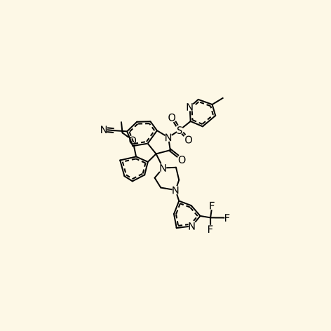 CCOc1ccccc1C1(N2CCN(c3ccnc(C(F)(F)F)c3)CC2)C(=O)N(S(=O)(=O)c2ccc(C)cn2)c2ccc(C#N)cc21